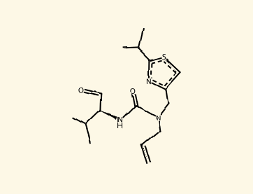 C=CCN(Cc1csc(C(C)C)n1)C(=O)N[C@H](C=O)C(C)C